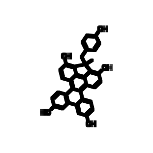 CC1(Cc2ccc(O)cc2)c2c(O)ccc3c2c2c1c(O)ccc2c1c2ccc(O)cc2c2cc(O)ccc2c31